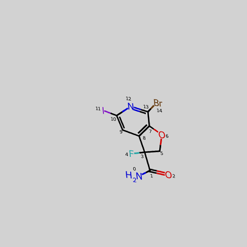 NC(=O)C1(F)COc2c1cc(I)nc2Br